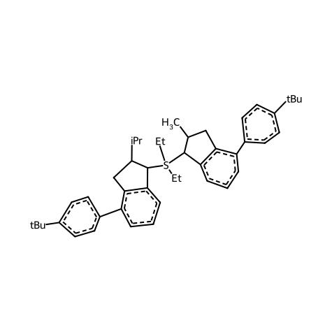 CCS(CC)(C1c2cccc(-c3ccc(C(C)(C)C)cc3)c2CC1C)C1c2cccc(-c3ccc(C(C)(C)C)cc3)c2CC1C(C)C